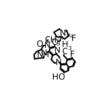 CCc1c(F)ccc2cc(O)cc(N3CCc4c(nc(OC[C@@]56CCCN5C[C@H](F)C6)c5c4N4CC6CCC(N6)C4C(=O)N5C)C3)c12